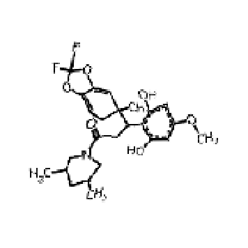 COc1cc(O)c(C(CC(=O)N2CC(C)CC(C)C2)C2(C)C=C3OC(F)(F)OC3=CC2)c(O)c1